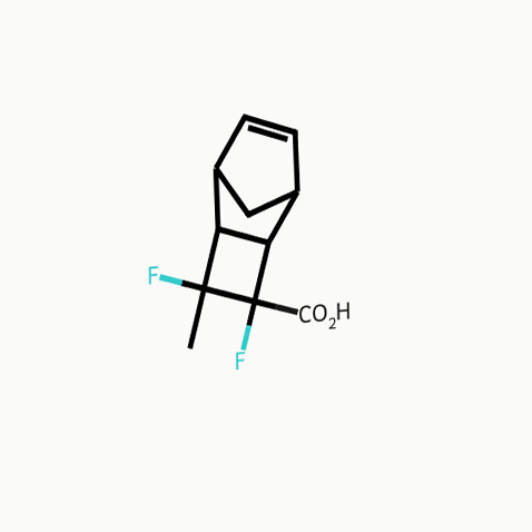 CC1(F)C2C3C=CC(C3)C2C1(F)C(=O)O